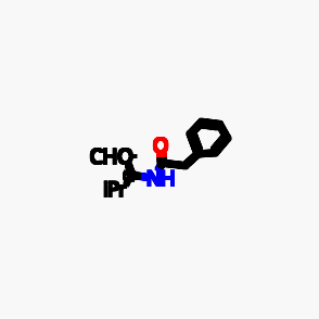 CC(C)[C@@H]([C]=O)NC(=O)Cc1ccccc1